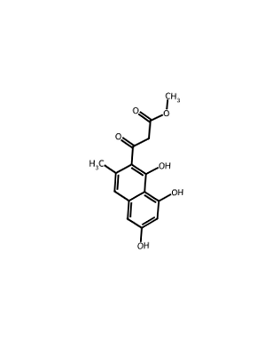 COC(=O)CC(=O)c1c(C)cc2cc(O)cc(O)c2c1O